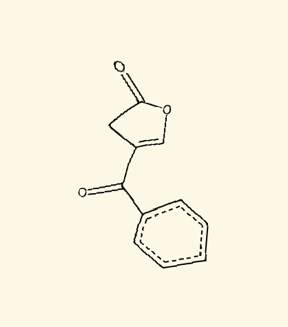 O=C1CC(C(=O)c2ccccc2)=CO1